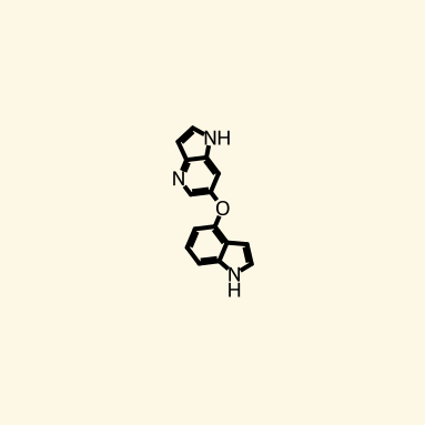 c1cc(Oc2cnc3cc[nH]c3c2)c2cc[nH]c2c1